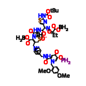 BOC(=O)C1=C(C[N+]23CCC(CNC(=O)c4cc(=O)c(OP)cn4Cc4ccc(OC)cc4OC)(CC2)CC3)C[S+]([O-])[C@@H]2[C@H](NC(=O)/C(=N\O[C@@H](CC)C(=O)OB)c3csc(NC(=O)OC(C)(C)C)n3)C(=O)N12